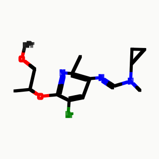 CCCOCC(C)Oc1nc(C)c(N=CN(C)C2CC2)cc1Br